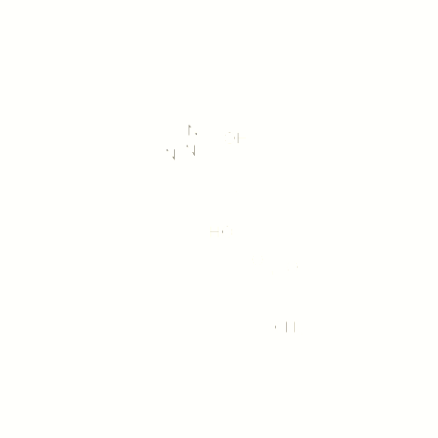 CC=CC(=O)OCC(O)Cc1ccc(-n2nc3ccccc3n2)c(O)c1